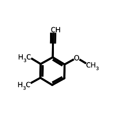 C#Cc1c(OC)ccc(C)c1C